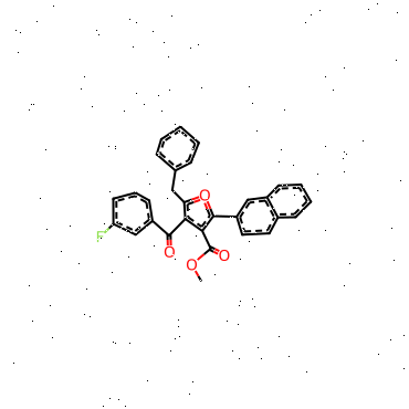 COC(=O)c1c(-c2ccc3ccccc3c2)oc(Cc2ccccc2)c1C(=O)c1cccc(F)c1